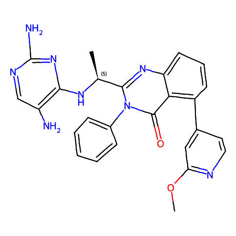 COc1cc(-c2cccc3nc([C@H](C)Nc4nc(N)ncc4N)n(-c4ccccc4)c(=O)c23)ccn1